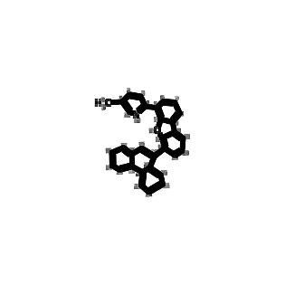 Cc1ccc(-c2cccc3c2oc2c(-c4cc5ccccc5c5ccccc45)cccc23)nc1